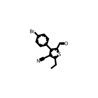 CCc1sc(C=O)c(-c2ccc(Br)cc2)c1C#N